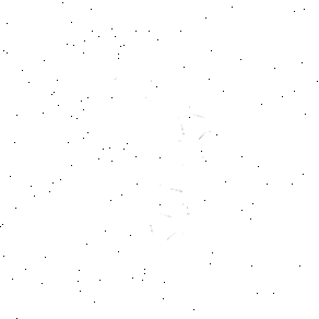 O=C(COCc1cccc(CCN2CCCCCC2)c1)Nc1ccccc1